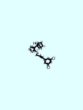 Clc1cc(Cl)cc(C#CCSc2nsnc2[C@@H]2CN3CCC2CC3)c1